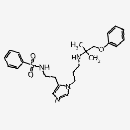 CC(C)(COc1ccccc1)NCCCn1cncc1CCNS(=O)(=O)c1ccccc1